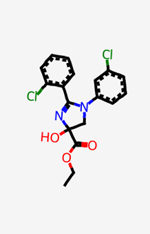 CCOC(=O)C1(O)CN(c2cccc(Cl)c2)C(c2ccccc2Cl)=N1